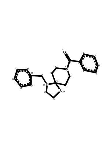 O=C(c1ccccc1)N1CCC2(CC1)SCCN2Cc1ccccc1